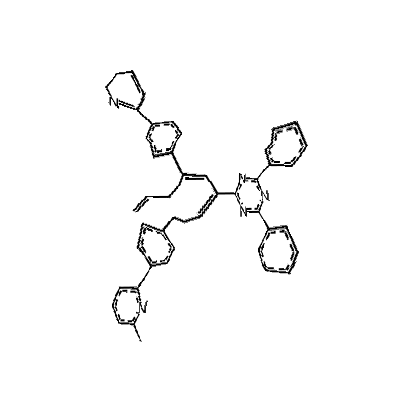 C=CC/C(=C\C(=C/Cc1ccc(-c2cccc(C)n2)cc1)c1nc(-c2ccccc2)nc(-c2ccccc2)n1)c1ccc(C2=NCCC=C2)cc1